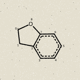 [C]1Cc2cc[c]cc2O1